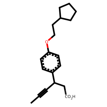 CC#CC(CC(=O)O)c1ccc(OCCC2CCCC2)cc1